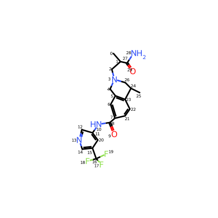 CC(CN1Cc2cc(C(=O)Nc3cncc(C(F)(F)F)c3)ccc2C(C)C1)C(N)=O